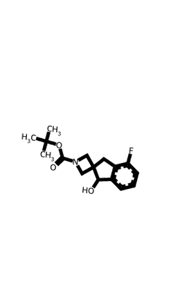 CC(C)(C)OC(=O)N1CC2(Cc3c(F)cccc3C2O)C1